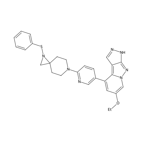 CCOc1cc(-c2ccc(N3CCC4(CC3)CN4Sc3ccccc3)nc2)c2c3cn[nH]c3nn2c1